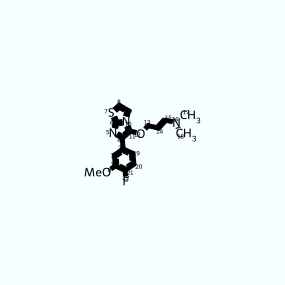 COc1cc(-c2nc3sccn3c2OCC=CN(C)C)ccc1F